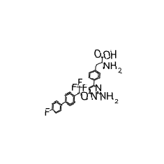 Nc1nc(OC(c2ccc(-c3ccc(F)cc3)cc2)C(F)(F)F)cc(-c2ccc(CC(N)C(=O)O)cc2)n1